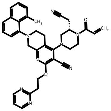 C=CC(=O)N1CCN(c2c(C#N)c(OCCc3ncccn3)nc3c2CCN(c2cccc4cccc(C)c24)C3)C[C@@H]1CC#N